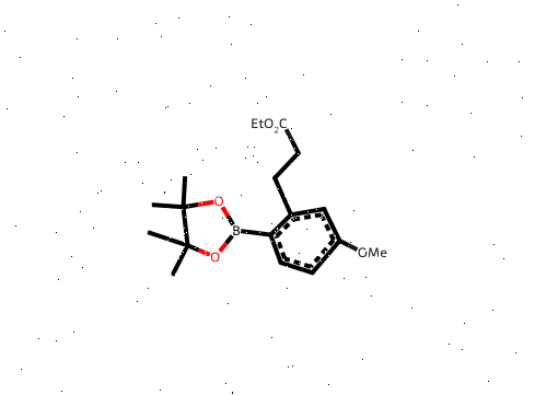 CCOC(=O)CCc1cc(OC)ccc1B1OC(C)(C)C(C)(C)O1